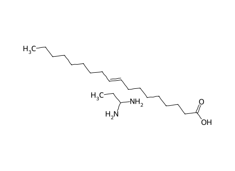 CCC(N)N.CCCCCCCCC=CCCCCCCCC(=O)O